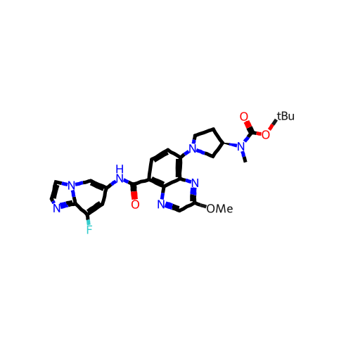 COc1cnc2c(C(=O)Nc3cc(F)c4nccn4c3)ccc(N3CC[C@@H](N(C)C(=O)OC(C)(C)C)C3)c2n1